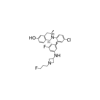 C[C@@H]1Cc2cc(O)ccc2[C@@H](c2c(F)cc(NC3CN(CCCF)C3)cc2F)N1c1ccc(Cl)cc1